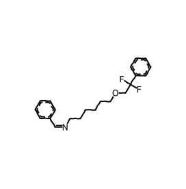 FC(F)(COCCCCCC/N=C\c1ccccc1)c1ccccc1